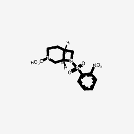 O=C(O)N1CC[C@@H]2CN(S(=O)(=O)c3ccccc3[N+](=O)[O-])[C@@H]2C1